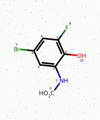 O=C(O)Nc1cc(Br)cc(F)c1O